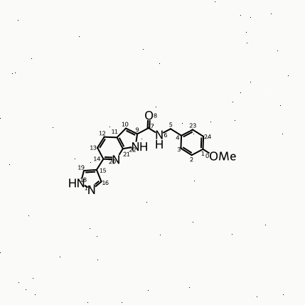 COc1ccc(CNC(=O)c2cc3ccc(-c4cn[nH]c4)nc3[nH]2)cc1